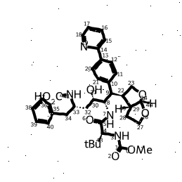 COC(=O)N[C@H](C(=O)N[C@@H](C(c1ccc(-c2ccccn2)cc1)[C@H]1CO[C@@H]2OCC[C@@H]21)[C@@H](O)C[C@H](Cc1ccccc1)NC(=O)O)C(C)(C)C